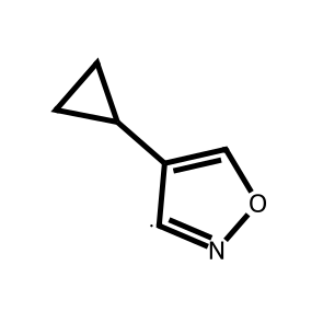 [c]1nocc1C1CC1